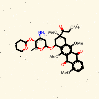 COCC(=O)[C@]1(OC)Cc2c(OC)c3c(c(OC)c2C(OC2C[C@H](N)[C@H](OC4CCCCO4)[C@H](C)O2)C1)C(=O)c1c(OC)cccc1C3=O